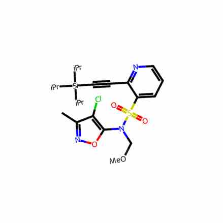 COCN(c1onc(C)c1Cl)S(=O)(=O)c1cccnc1C#C[Si](C(C)C)(C(C)C)C(C)C